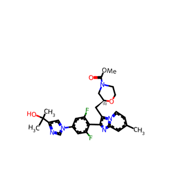 COC(=O)N1CCO[C@@H](Cc2c(-c3c(F)cc(-n4cnc(C(C)(C)O)c4)cc3F)nc3cc(C)ccn23)C1